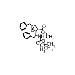 CCOC(=O)C1CN(Cc2ccccc2)OC1C(Cc1ccccc1)NC(=O)OC(C)(C)C